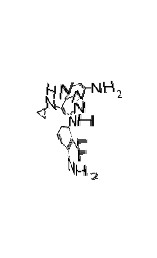 Nc1cccc(Nc2cc(NC3CC3)c3ncc(N)n3n2)c1F